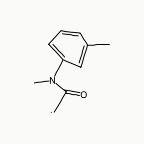 [CH2]C(=O)N(C)c1cccc(C)c1